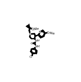 COc1ccc(C2CN(CC3(OC)CC3)CCC2NC(=O)Nc2ccc(Cl)cc2)nc1